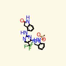 CS(=O)(=O)Nc1ccccc1CNc1nc(Nc2cccc3c2CC(=O)N3)ncc1C(F)(F)F